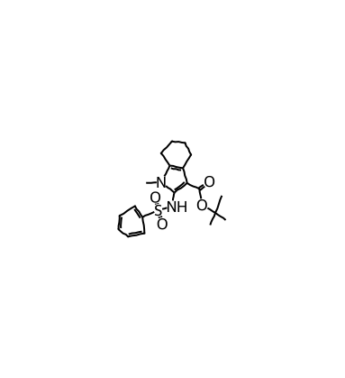 Cn1c2c(c(C(=O)OC(C)(C)C)c1NS(=O)(=O)c1ccccc1)CCCC2